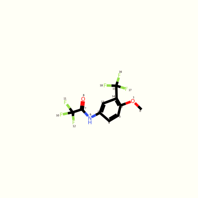 COc1ccc(NC(=O)C(F)(F)F)cc1C(F)(F)F